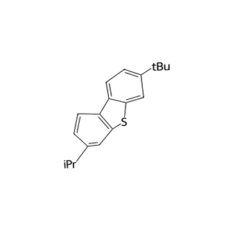 CC(C)c1ccc2c(c1)sc1cc(C(C)(C)C)ccc12